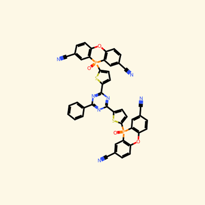 N#Cc1ccc2c(c1)P(=O)(c1ccc(-c3nc(-c4ccccc4)nc(-c4ccc(P5(=O)c6cc(C#N)ccc6Oc6ccc(C#N)cc65)s4)n3)s1)c1cc(C#N)ccc1O2